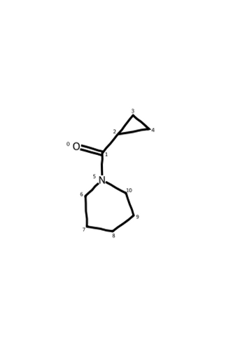 O=C(C1CC1)N1CCCCC1